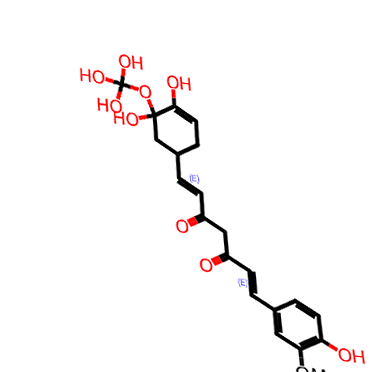 COc1cc(/C=C/C(=O)CC(=O)/C=C/C2CC=C(O)C(O)(OC(O)(O)O)C2)ccc1O